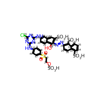 O=S(=O)(O)OCCS(=O)(=O)c1ccc(Nc2nc(Cl)nc(Nc3ccc4c(O)c(N=Nc5ccc6c(S(=O)(=O)O)cccc6c5S(=O)(=O)O)c(S(=O)(=O)O)cc4c3)n2)cc1